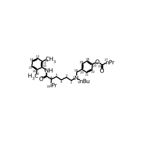 CCCCN(CCCCC(C(=O)Nc1c(C)cccc1C)C(C)C)Cc1ccc(OC(=O)CCC)cc1